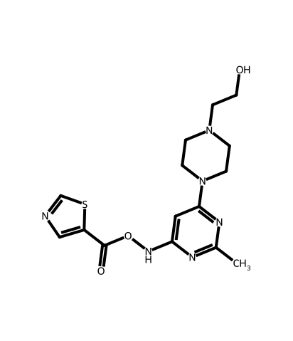 Cc1nc(NOC(=O)c2cncs2)cc(N2CCN(CCO)CC2)n1